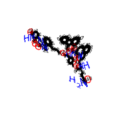 C[C@@H](OCc1ccc(CCOCCCc2cccc3c2n(C)c(=O)n3C2CCC(=O)NC2=O)cc1)[C@H](CCC(N)=O)NC(=O)[C@@H]1Cc2cccc3c2N1C(=O)[C@@H](NC(=O)OCC1c2ccccc2-c2ccccc21)CC3